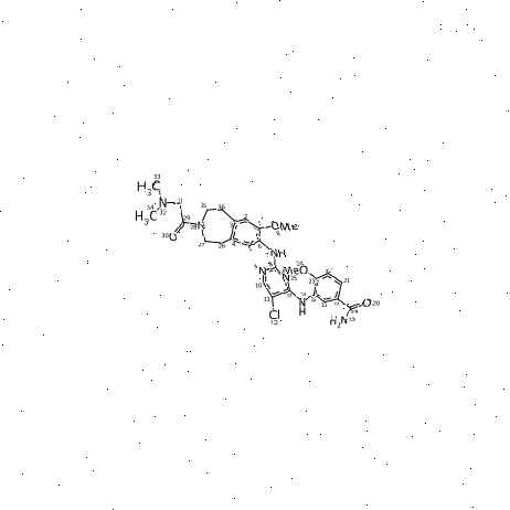 COc1cc2c(cc1Nc1ncc(Cl)c(Nc3cc(C(N)=O)ccc3OC)n1)CCN(C(=O)CN(C)C)CC2